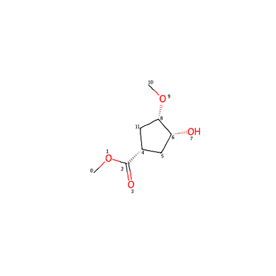 COC(=O)[C@H]1C[C@@H](O)[C@@H](OC)C1